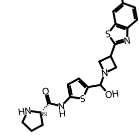 O=C(Nc1ccc(C(O)N2CC(c3nc4ccc(Cl)cc4s3)C2)s1)[C@@H]1CCCN1